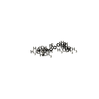 COC(=O)N[C@@H](C(=O)N(Cc1ncc(-c2ccc3c(c2)C(F)(F)c2cc(-c4ccc5nc([C@@H]6[C@H]7CC[C@H](C7)N6C(=O)[C@H](NC(=O)OC)C(C)C)[nH]c5c4)ccc2-3)[nH]1)CC1(C)CC1)C(C)C